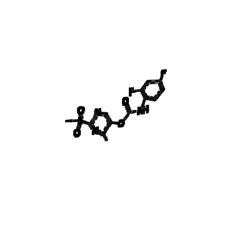 Cc1nc(S(C)(=O)=O)ncc1OC(=O)Nc1ccc(F)cc1F